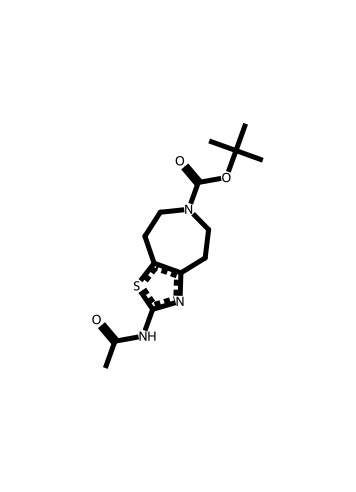 CC(=O)Nc1nc2c(s1)CCN(C(=O)OC(C)(C)C)CC2